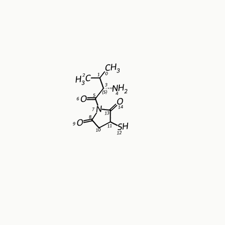 CC(C)[C@H](N)C(=O)N1C(=O)CC(S)C1=O